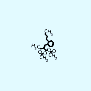 CCCCc1ccccc1C=C(CC)C(OC(C)=O)OC(C)=O